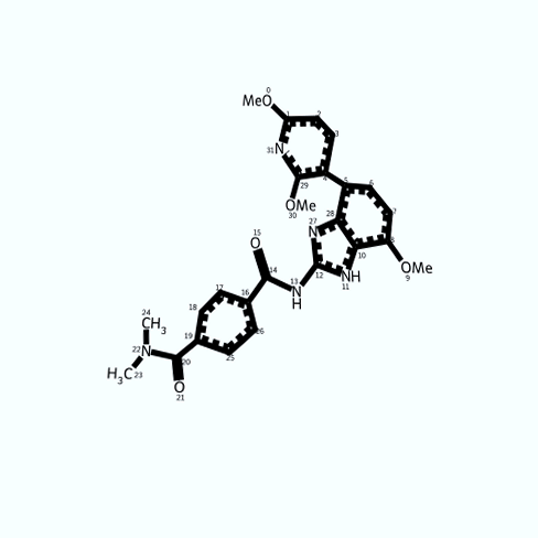 COc1ccc(-c2ccc(OC)c3[nH]c(NC(=O)c4ccc(C(=O)N(C)C)cc4)nc23)c(OC)n1